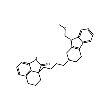 COCn1c2c(c3ccccc31)CCN(CCCCC13CCCc4cccc(c41)NC3=O)C2